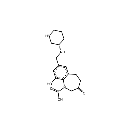 O=C1CCc2cc(CN[C@H]3CCCNC3)cc(O)c2N(S(=O)O)C1